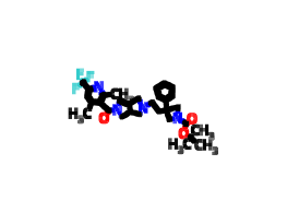 Cc1cc(C(F)(F)F)nc(C)c1C(=O)N1C=C2CN(CCC3(c4ccccc4)CN(C(=O)OC(C)(C)C)C3)CC2C1